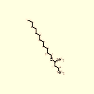 CCCCCCCCCCCCOC(N)CCN